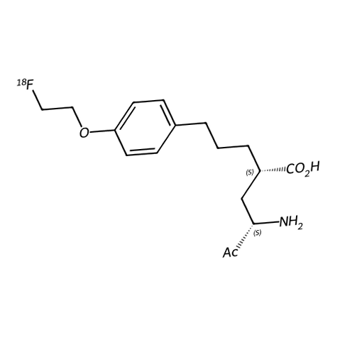 CC(=O)[C@@H](N)C[C@H](CCCc1ccc(OCC[18F])cc1)C(=O)O